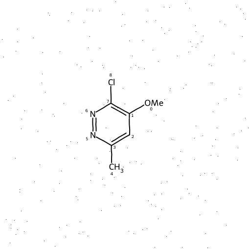 COc1cc(C)nnc1Cl